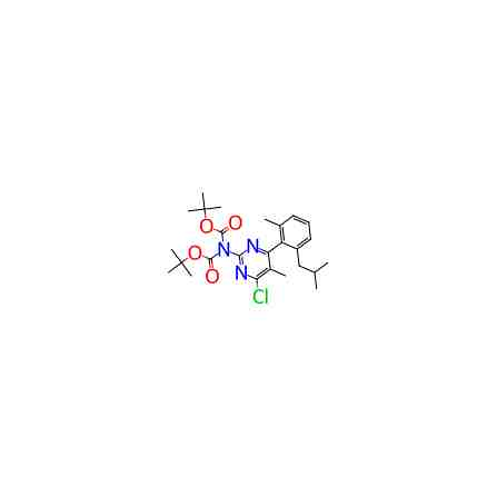 Cc1cccc(CC(C)C)c1-c1nc(N(C(=O)OC(C)(C)C)C(=O)OC(C)(C)C)nc(Cl)c1C